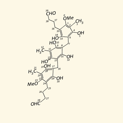 COc1c(C)c(O)c(Cc2c(O)c(C)c(O)c(Cc3c(O)c(C)c(OC)c(CCCC=O)c3O)c2O)c(O)c1CCCC=O